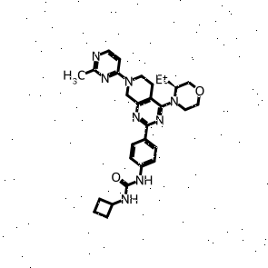 CC[C@H]1COCCN1c1nc(-c2ccc(NC(=O)NC3CCC3)cc2)nc2c1CCN(c1ccnc(C)n1)C2